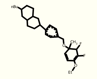 CCCCC1CCC2CC(c3ccc(COC4(C)C=CC(OCC)=C(F)C4F)cc3)CCC2C1